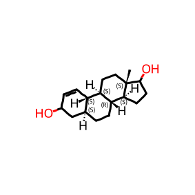 C[C@]12CC[C@@H]3[C@H]4C=CC(O)C[C@@H]4CC[C@H]3[C@@H]1CCC2O